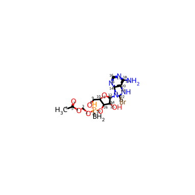 B[PH]1(OCOC(C)=O)OCC2O[C@@H](N3c4ncnc(N)c4NC3Br)[C@@H](O)C2O1